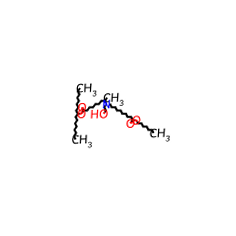 CCCCCCCCC(CCCCCCCC)OC(=O)CCCCCCC(C)N(CCO)CCCCCCCCCC(=O)OCCCCCCC